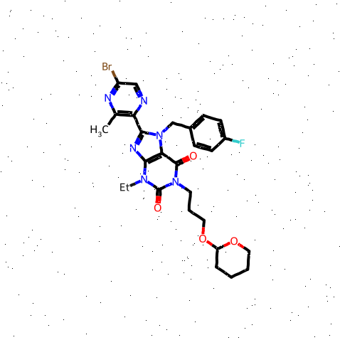 CCn1c(=O)n(CCCOC2CCCCO2)c(=O)c2c1nc(-c1ncc(Br)nc1C)n2Cc1ccc(F)cc1